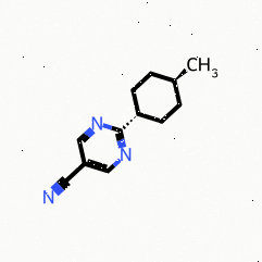 C[C@H]1CC[C@H](c2ncc(C#N)cn2)CC1